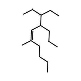 C[CH]C(CC)C(C=C(C)CCCC)CCC